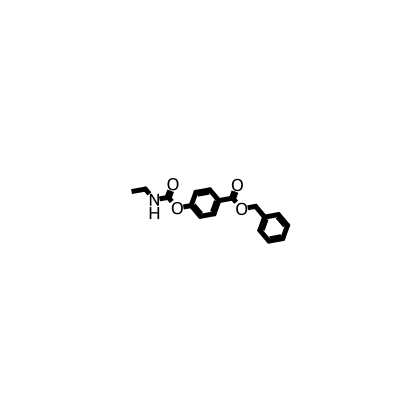 CCNC(=O)Oc1ccc(C(=O)OCc2ccccc2)cc1